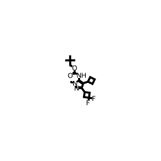 Cn1nc(C2CC(F)(F)C2)c(C2CCC2)c1NC(=O)OCC(C)(C)C